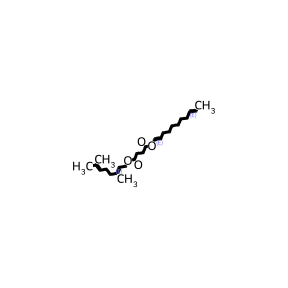 C/C=C/CCCCCC/C=C/OC(=O)CCC(=O)OC/C=C(\C)CCC=C(C)C